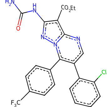 CCOC(=O)c1c(NC(N)=O)nn2c(-c3ccc(C(F)(F)F)cc3)c(-c3ccccc3Cl)cnc12